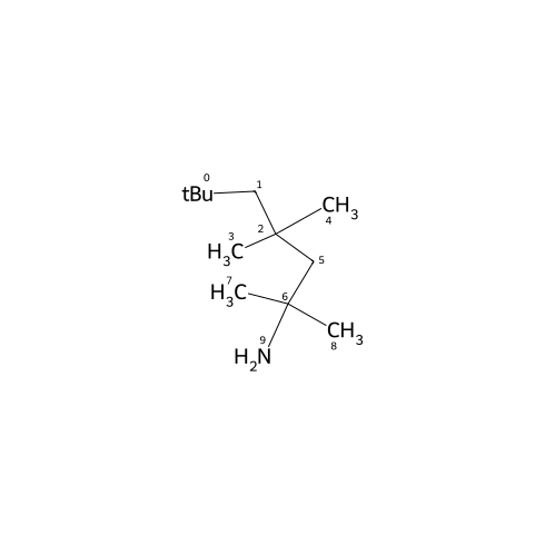 CC(C)(C)CC(C)(C)CC(C)(C)N